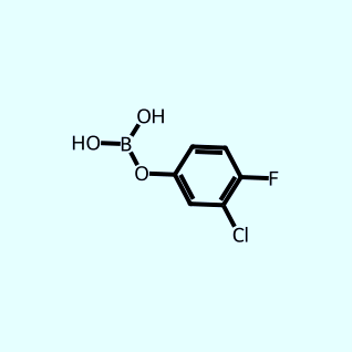 OB(O)Oc1ccc(F)c(Cl)c1